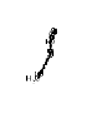 C=CC(=O)OCCCCCCCCCCCOc1ccc(C#CC(=O)Oc2ccc(OC3CCCCO3)cc2)cc1